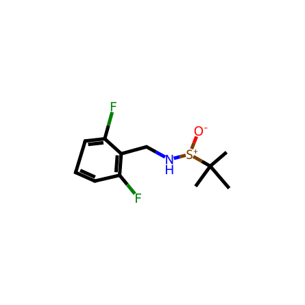 CC(C)(C)[S+]([O-])NCc1c(F)cccc1F